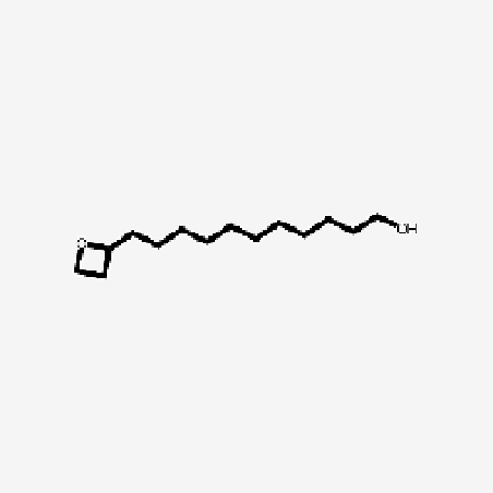 OCCCCCCCCCCCC1CCO1